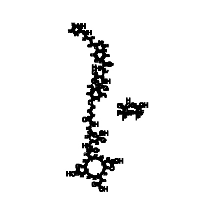 Cc1cc(OCCCC(=O)NCCC[C@H](CS(=O)(=O)O)NC(=O)CN2CCN(CC(=O)O)CCN(CC(=O)O)CCN(CC(=O)O)CC2)cc(C)c1S(=O)(=O)N[C@@H](CNC(=O)c1ccc2c(cnn2CCCNc2ncc[nH]2)c1)C(=O)O.O=C(O)C(F)(F)F.O=C(O)C(F)(F)F